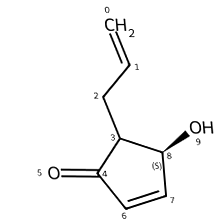 C=CCC1C(=O)C=C[C@@H]1O